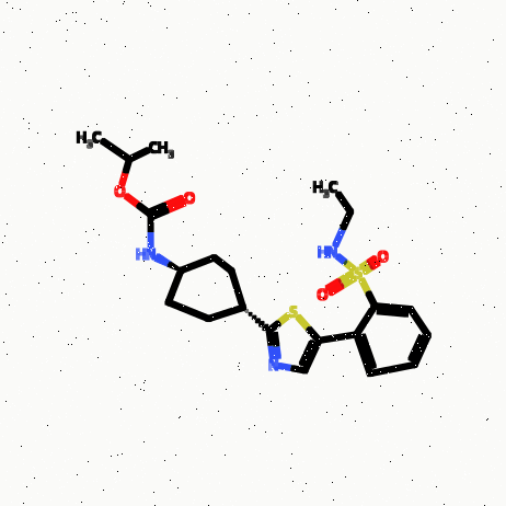 CCNS(=O)(=O)c1ccccc1-c1cnc([C@H]2CC[C@H](NC(=O)OC(C)C)CC2)s1